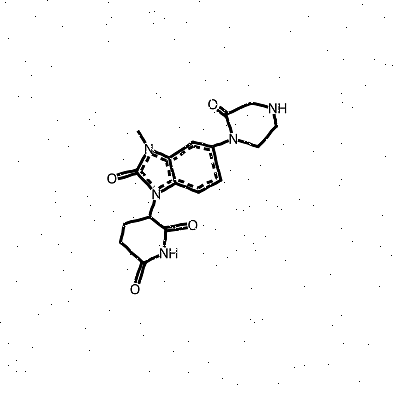 Cn1c(=O)n(C2CCC(=O)NC2=O)c2ccc(N3CCNCC3=O)cc21